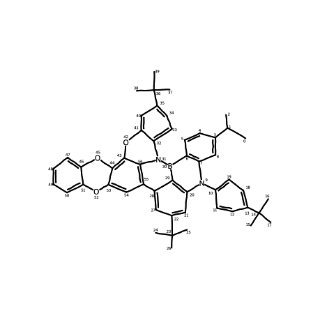 CC(C)c1ccc2c(c1)N(c1ccc(C(C)(C)C)cc1)c1cc(C(C)(C)C)cc3c1B2n1c2ccc(C(C)(C)C)cc2oc2c4oc5ccccc5oc4cc-3c21